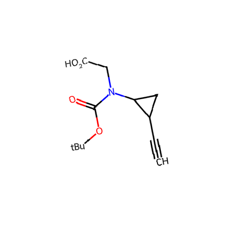 C#CC1CC1N(CC(=O)O)C(=O)OC(C)(C)C